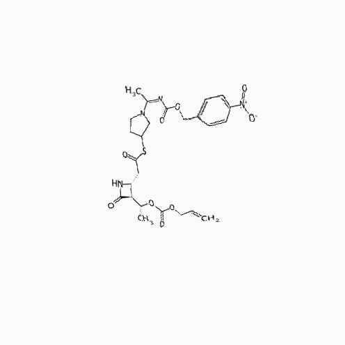 C=CCOC(=O)O[C@H](C)[C@H]1C(=O)N[C@@H]1CC(=O)SC1CCN(C(C)=NC(=O)OCc2ccc([N+](=O)[O-])cc2)C1